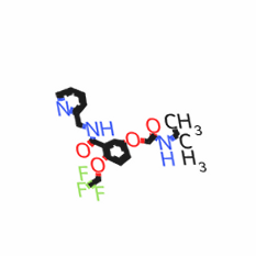 CC(C)NC(=O)COc1ccc(OCC(F)(F)F)c(C(=O)NCc2ccccn2)c1